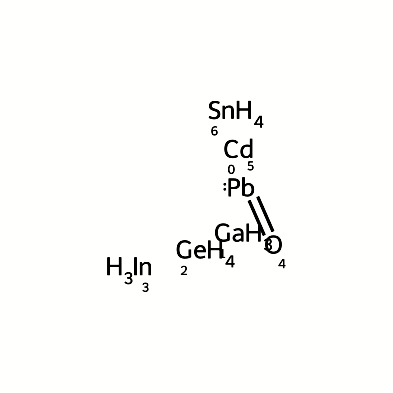 [Cd].[GaH3].[GeH4].[InH3].[O]=[Pb].[SnH4]